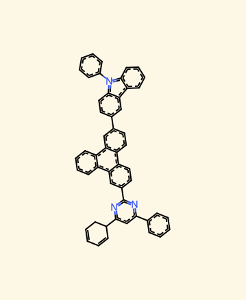 C1=CCC(c2cc(-c3ccccc3)nc(-c3ccc4c5ccc(-c6ccc7c(c6)c6ccccc6n7-c6ccccc6)cc5c5ccccc5c4c3)n2)C=C1